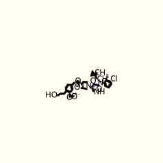 CN(C(=O)/C(OCC1(C)CC1)=C(\C=N)N1CCN(S(=O)(=O)Cc2ccc(CCCO)c([N+](=O)[O-])c2)CC1)c1cccc(Cl)c1